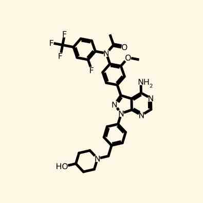 COc1cc(-c2nn(-c3ccc(CN4CCC(O)CC4)cc3)c3ncnc(N)c23)ccc1N(C(C)=O)c1ccc(C(F)(F)F)cc1F